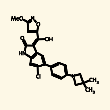 COc1cc(C(O)=C2C(=O)Nc3cc(Cl)c(-c4ccc(N5CC(C)(C)C5)cc4)cc32)on1